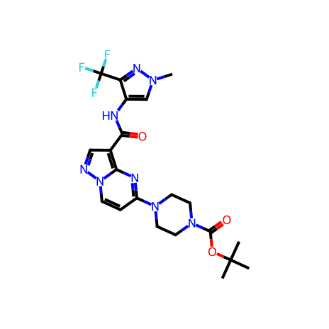 Cn1cc(NC(=O)c2cnn3ccc(N4CCN(C(=O)OC(C)(C)C)CC4)nc23)c(C(F)(F)F)n1